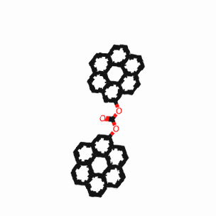 O=C(Oc1cc2ccc3ccc4ccc5ccc6ccc1c1c6c5c4c3c21)Oc1cc2ccc3ccc4ccc5ccc6ccc1c1c6c5c4c3c21